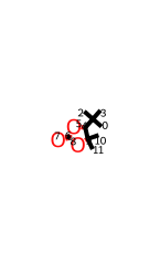 CC(C)(C)C1OC(=O)OC1(C)C